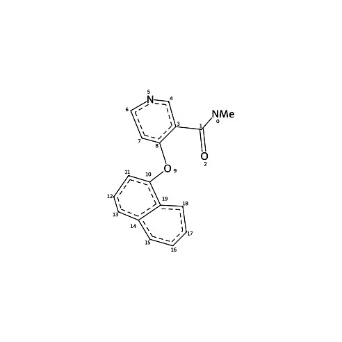 CNC(=O)c1cnccc1Oc1cccc2ccccc12